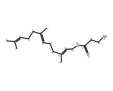 CC(C)=CCCC(C)=CCCC(C)=CCOC(=O)CCS